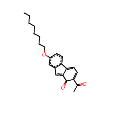 CCCCCCCCOc1ccc2c(c1)C=C1C(=O)C(C(C)=O)=CC=C12